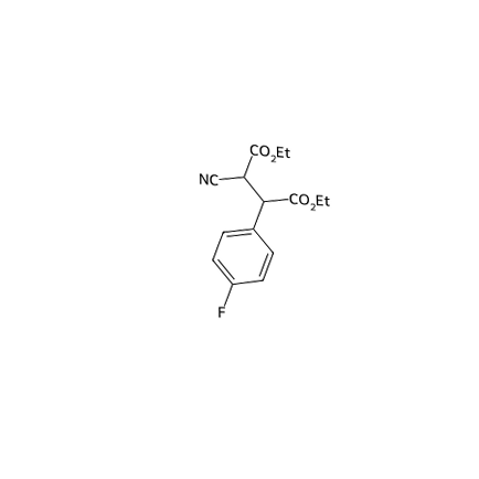 CCOC(=O)C(C#N)C(C(=O)OCC)c1ccc(F)cc1